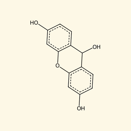 Oc1ccc2c(c1)Oc1cc(O)ccc1C2O